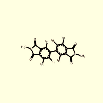 [2H]c1c([2H])c(-c2c([2H])c([2H])c3c(c2[2H])C(=O)N(C)C3=O)c([2H])c2c1C(=O)N(C)C2=O